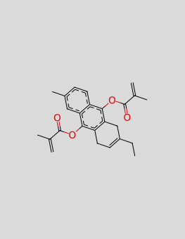 C=C(C)C(=O)Oc1c2c(c(OC(=O)C(=C)C)c3ccc(C)cc13)CC(CC)=CC2